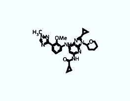 COc1c(Nc2cc(NC(=O)C3CC3)nc3c2nc(C2CC2)n3C2CCCCO2)cccc1-c1ncn(C)n1